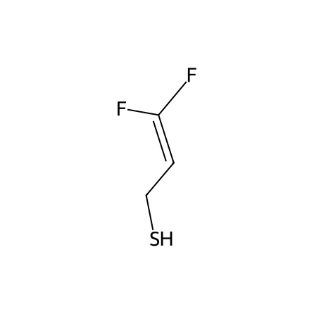 FC(F)=CCS